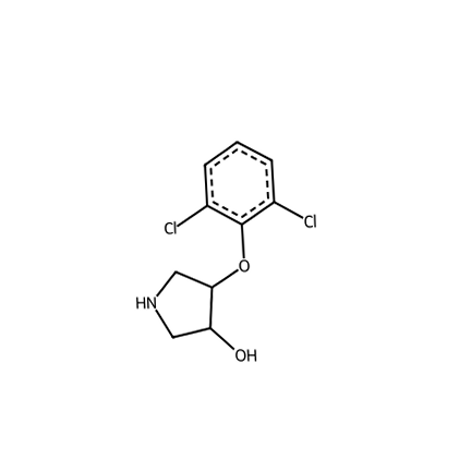 OC1CNCC1Oc1c(Cl)cccc1Cl